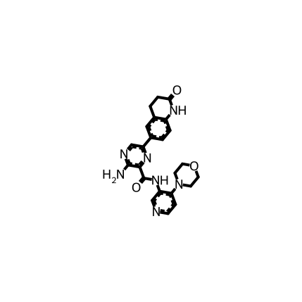 Nc1ncc(-c2ccc3c(c2)CCC(=O)N3)nc1C(=O)Nc1cnccc1N1CCOCC1